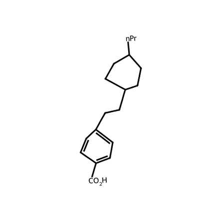 CCCC1CCC(CCc2ccc(C(=O)O)cc2)CC1